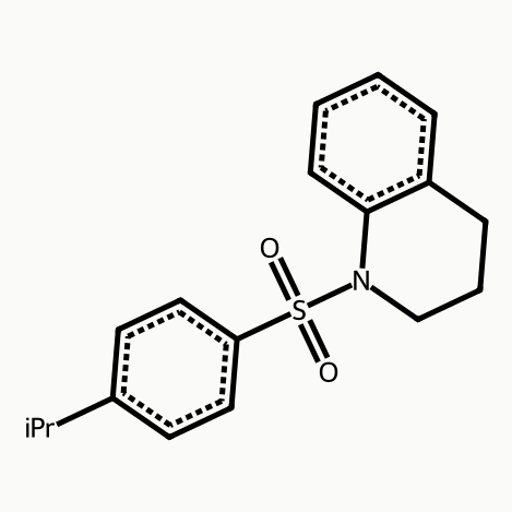 CC(C)c1ccc(S(=O)(=O)N2CCCc3ccccc32)cc1